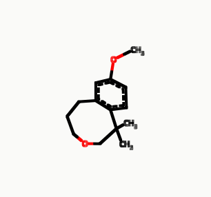 COc1ccc2c(c1)CCCOCC2(C)C